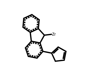 [Zr][CH]1c2ccccc2-c2cccc(C3=CC=CC3)c21